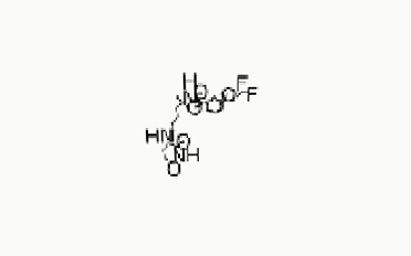 CC(C)(CCCCNC1CCC(=O)NC1=O)NS(=O)(=O)c1cccc(OCC(F)F)c1